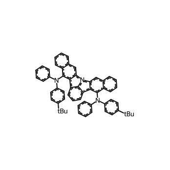 CC(C)(C)c1ccc(N(c2ccccc2)c2c3ccccc3cc3c2c2cccc4c5c(N(c6ccccc6)c6ccc(C(C)(C)C)cc6)c6ccccc6cc5n3c24)cc1